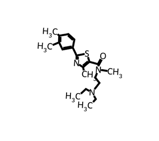 CCN(CC)CCN(C)C(=O)c1sc(-c2ccc(C)c(C)c2)nc1C